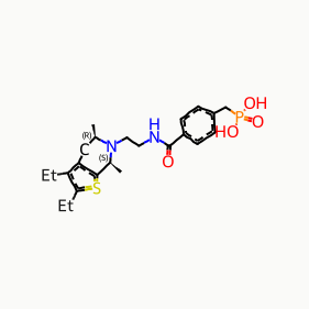 CCc1sc2c(c1CC)C[C@@H](C)N(CCNC(=O)c1ccc(CP(=O)(O)O)cc1)[C@H]2C